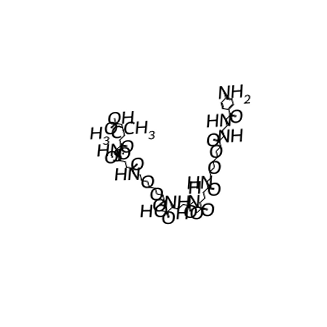 CC(C)(CCC(=O)NS(=O)(=O)CCCC(=O)NCCOCCOCC(=O)NC(CCC(=O)NC(CCC(=O)NCCOCCOCC(=O)NCCNC(=O)c1ccc(N)cc1)C(=O)O)C(=O)O)CC(=O)O